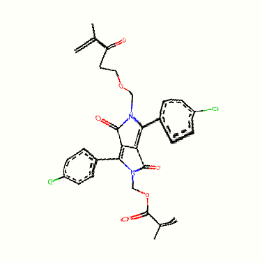 C=C(C)C(=O)CCOCN1C(=O)C2=C(c3ccc(Cl)cc3)N(COC(=O)C(=C)C)C(=O)C2=C1c1ccc(Cl)cc1